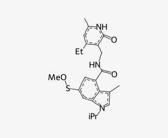 CCc1cc(C)[nH]c(=O)c1CNC(=O)c1cc(SOC)cc2c1c(C)cn2C(C)C